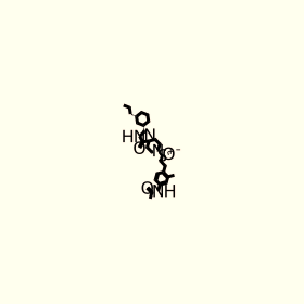 CCC[C@@H]1CCC[C@H](C2=NC3(CCN([S+]([O-])CCc4ccc(NC(C)=O)cc4C)CC3)C(=O)N2)C1